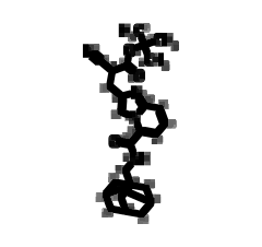 CC(C)(C)OC(=O)C(C#N)Cc1cn2c(C(=O)NCC34CC5CC(CC(C5)C3)C4)cccc2n1